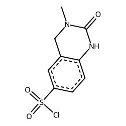 CN1Cc2cc(S(=O)(=O)Cl)ccc2NC1=O